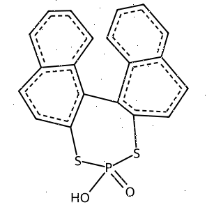 O=P1(O)Sc2ccc3ccccc3c2-c2c(ccc3ccccc23)S1